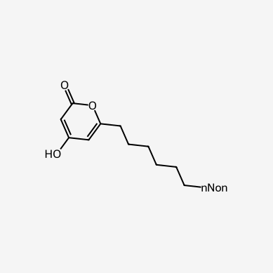 CCCCCCCCCCCCCCCc1cc(O)cc(=O)o1